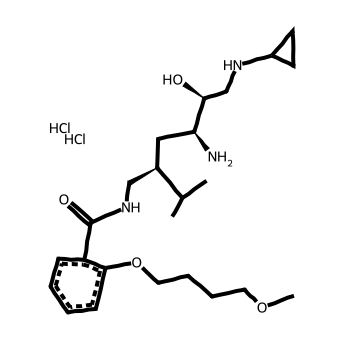 COCCCCOc1ccccc1C(=O)NC[C@@H](C[C@H](N)[C@@H](O)CNC1CC1)C(C)C.Cl.Cl